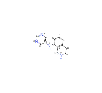 c1cc2c(c(Nc3cncnc3)c1)CNCC2